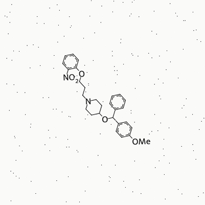 COc1ccc(C(OC2CCN(CCCOc3ccccc3[N+](=O)[O-])CC2)c2ccccc2)cc1